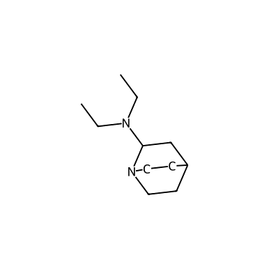 CCN(CC)C1CC2CCN1CC2